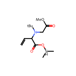 C=CC(C(=O)O[SiH](C)C)N(CC(=O)OC)C(C)(C)C